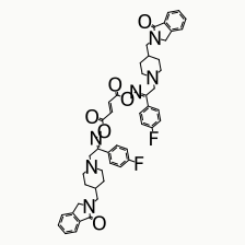 O=C(/C=C/C(=O)O/N=C(/CN1CCC(CN2Cc3ccccc3C2=O)CC1)c1ccc(F)cc1)O/N=C(/CN1CCC(CN2Cc3ccccc3C2=O)CC1)c1ccc(F)cc1